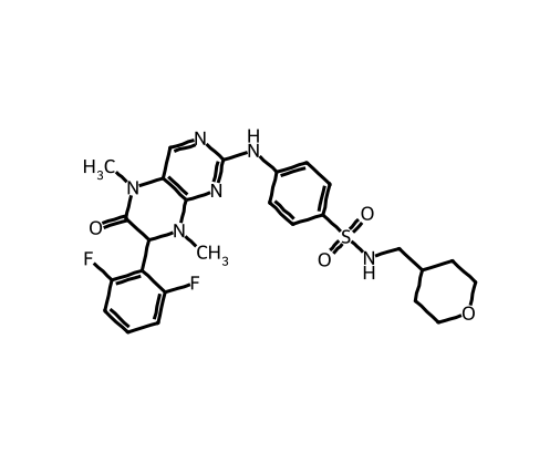 CN1C(=O)C(c2c(F)cccc2F)N(C)c2nc(Nc3ccc(S(=O)(=O)NCC4CCOCC4)cc3)ncc21